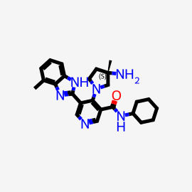 Cc1cccc2[nH]c(-c3cncc(C(=O)NC4CCCCC4)c3N3CC[C@](C)(N)C3)nc12